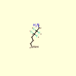 CCCCCCCCCC(F)(F)C(F)(F)CN